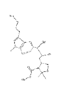 COCCCc1cn(C)c2ccc(C(O)C(CC3COC(C)(C)N3C(=O)OC(C)(C)C)C(C)C)cc12